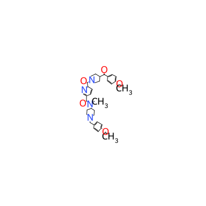 COc1ccc(CN2CCC(N(C)C(=O)c3ccc(C(=O)N4CCC(C(=O)c5ccc(OC)cc5)CC4)nc3)CC2)cc1